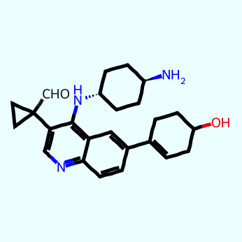 N[C@H]1CC[C@H](Nc2c(C3(C=O)CC3)cnc3ccc(C4=CCC(O)CC4)cc23)CC1